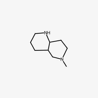 CN1CCC2NCCCC2C1